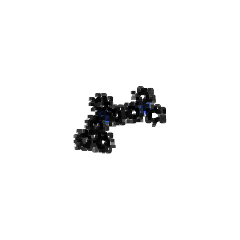 C1=Cc2c(n(-c3ccccc3)c3ccc(-c4ccc5c(c4)c4ccccc4n5-c4ccc5c6ccccc6c6ccccc6c5c4)cc23)CC1